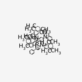 Cc1cc2c(cc1N1c3cc4c(cc3B3c5cc(-c6ccccc6)ccc5N(c5ccc6c(c5)C(C)(C)CCC6(C)C)c5cc(N(c6ccccc6)c6ccccc6)cc1c53)C(C)(C)CCC4(C)C)C(C)(C)CCC2(C)C